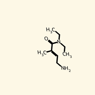 CCN(CC)C(=O)C(C)=CCN